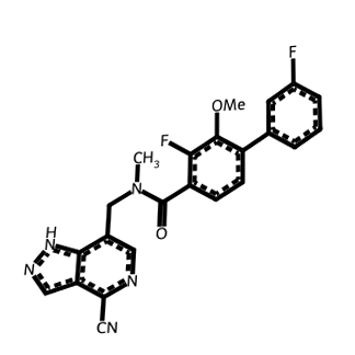 COc1c(-c2cccc(F)c2)ccc(C(=O)N(C)Cc2cnc(C#N)c3cn[nH]c23)c1F